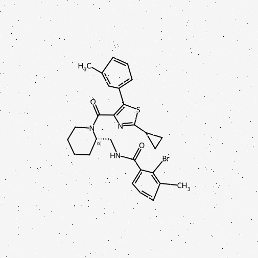 Cc1cccc(-c2sc(C3CC3)nc2C(=O)N2CCCC[C@H]2CNC(=O)c2cccc(C)c2Br)c1